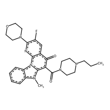 CCCN1CCN(C(=O)c2c(=O)c3cc(F)c(N4CCOCC4)nc3n3c4ccccc4n(C)c23)CC1